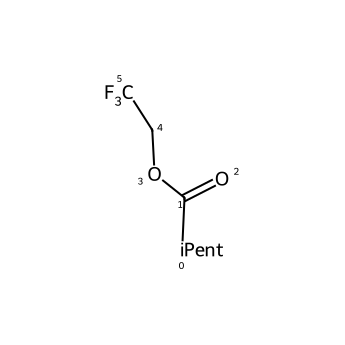 CCCC(C)C(=O)OCC(F)(F)F